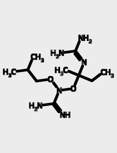 CCC(C)(N=C(N)N)ON(OCC(C)C)C(=N)N